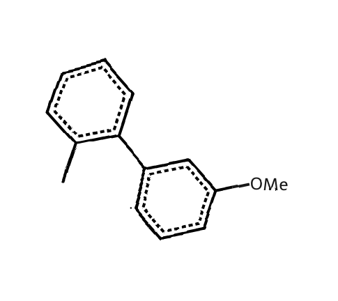 COc1cc[c]c(-c2ccccc2C)c1